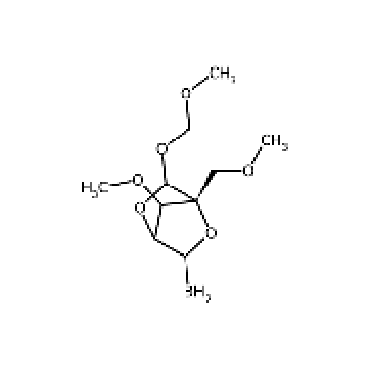 BC1O[C@@]2(COC)C(OCOC)OC1C2OC